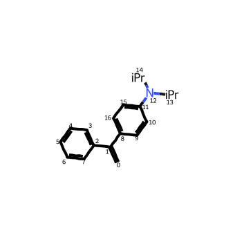 C=C(c1ccccc1)c1ccc(N(C(C)C)C(C)C)cc1